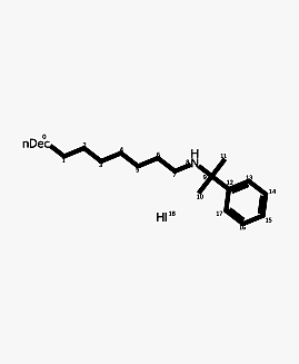 CCCCCCCCCCCCCCCCCNC(C)(C)c1ccccc1.I